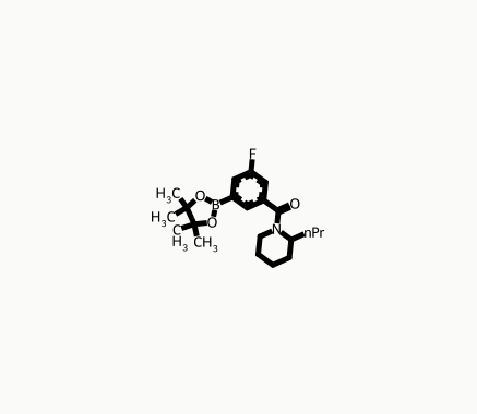 CCCC1CCCCN1C(=O)c1cc(F)cc(B2OC(C)(C)C(C)(C)O2)c1